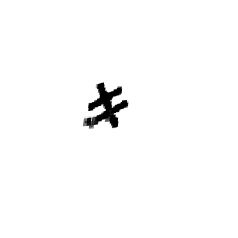 B[PH](C)(C)C(C)(C)C